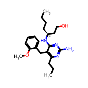 CCCC[C@@H](CCO)Nc1nc(N)nc(CCC)c1Cc1ccccc1OC